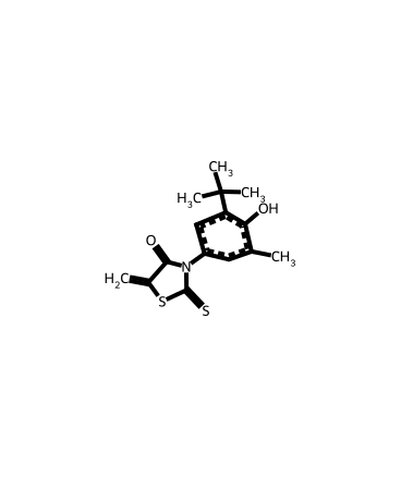 C=C1SC(=S)N(c2cc(C)c(O)c(C(C)(C)C)c2)C1=O